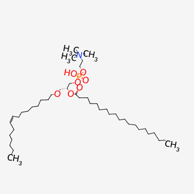 CCCCCC/C=C\CCCCCCCCOC[C@H](COP(=O)(O)OCC[N+](C)(C)C)OC(=O)CCCCCCCCCCCCCCCCCCC